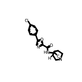 O=C(N[C@H]1CN2CCC1CC2)c1ncc(-c2ccc(Cl)cc2)o1